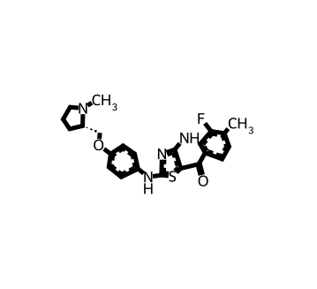 Cc1ccc(C(=O)c2sc(Nc3ccc(OC[C@@H]4CCCN4C)cc3)nc2N)cc1F